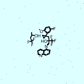 CC(O)CC(F)(F)F.COc1ccc(F)cc1C1(CC(O)(C=Nc2cccc3ncccc23)C(F)(F)F)CC1